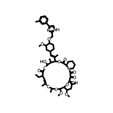 CCC1/C=C(\C)CC(C)CC(OC)C2OC(O)(C(=O)C(=O)N3CCCCC3C(=O)OC(C(C)=CC3CCC(OCc4nc(-c5cccc(C)c5)c[nH]4)C(OC)C3)C(C)C(O)CC1=O)C(C)CC2OC